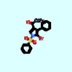 COC(=O)c1cn(S(=O)(=O)c2ccccc2)c(Br)c1-c1ccccc1